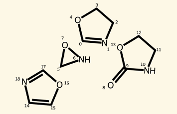 C1=NCCO1.C1NO1.O=C1NCCO1.c1cocn1